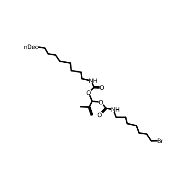 C=C(C)C(OC(=O)NCCCCCCCBr)OC(=O)NCCCCCCCCCCCCCCCCCC